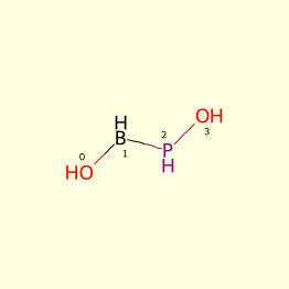 OBPO